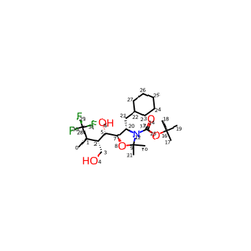 CC([C@@H](CO)[C@H](O)[C@@H]1OC(C)(C)N(C(=O)OC(C)(C)C)[C@H]1CC1CCCCC1)C(F)(F)F